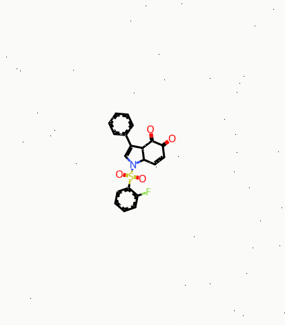 O=C1C=CC2C(C1=O)C(c1ccccc1)=CN2S(=O)(=O)c1ccccc1F